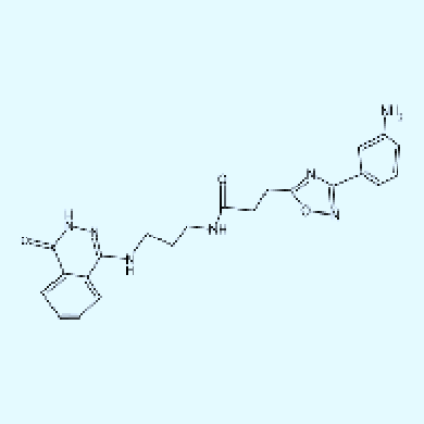 Nc1cccc(-c2noc(CCC(=O)NCCCNc3n[nH]c(=O)c4ccccc34)n2)c1